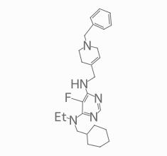 CCN(CC1CCCCC1)c1ncnc(NCC2=CCN(Cc3ccccc3)CC2)c1F